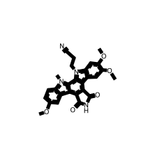 COc1ccc2c(c1)c1c3c(c4c5cc(OC)c(OC)cc5n(CCC#N)c4c1n2C)C(=O)NC3=O